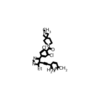 C=C(N)/C=C\C(C#Cc1c(CC)ncnc1-c1cc(Cl)c(C(=O)N2CCC3(CC2)CN(C)C3)c(Cl)c1)=C/N